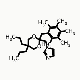 CCCC1(CCC)COC(Cc2c(C)c(C)c(C)c(C)c2C)(Cn2ccnc2)OC1